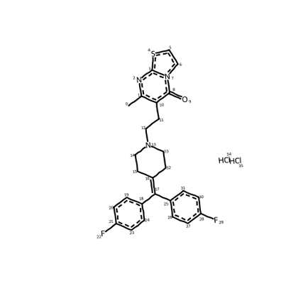 Cc1nc2sccn2c(=O)c1CCN1CCC(=C(c2ccc(F)cc2)c2ccc(F)cc2)CC1.Cl.Cl